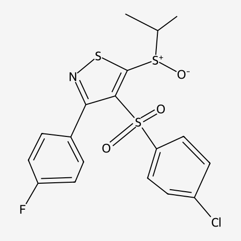 CC(C)[S+]([O-])c1snc(-c2ccc(F)cc2)c1S(=O)(=O)c1ccc(Cl)cc1